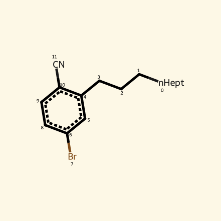 CCCCCCCCCCc1cc(Br)ccc1C#N